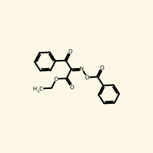 CCOC(=O)C(=NOC(=O)c1ccccc1)C(=O)c1ccccc1